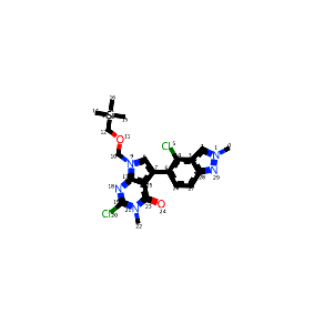 Cn1cc2c(Cl)c(-c3cn(COC[Si](C)(C)C)c4nc(Cl)n(C)c(=O)c34)ccc2n1